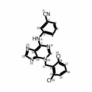 N#Cc1cccc(Nc2ncn(Cc3c(Cl)cccc3Cl)c3ncnc2-3)c1